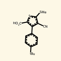 CSc1sc(C(=O)O)c(-c2ccc(C(C)(C)C)cc2)c1C#N